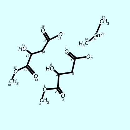 COC(=O)C(O)CC(=O)[O-].COC(=O)C(O)CC(=O)[O-].[CH3][Sn+2][CH3]